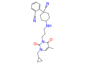 Cc1cn(CC2CC2)c(=O)n(CCCNC2CCC(C#N)(c3ccccc3C#N)CC2)c1=O